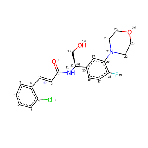 O=C(/C=C/c1ccccc1Cl)N[C@@H](CO)c1ccc(F)c(N2CCOCC2)c1